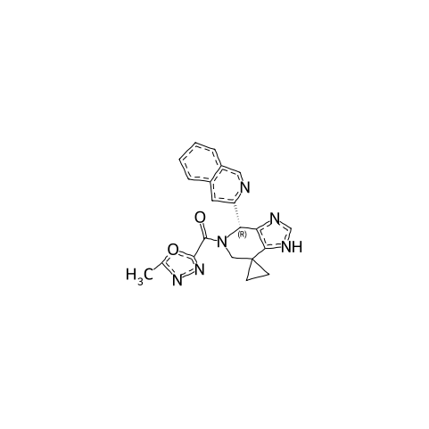 Cc1nnc(C(=O)N2CC3(CC3)c3[nH]cnc3[C@H]2c2cc3ccccc3cn2)o1